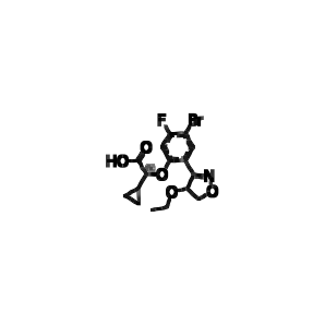 CCOC1CON=C1c1cc(Br)c(F)cc1O[C@H](C(=O)O)C1CC1